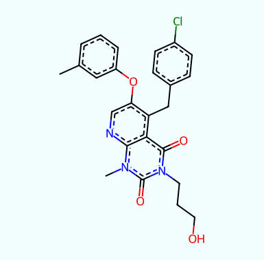 Cc1cccc(Oc2cnc3c(c2Cc2ccc(Cl)cc2)c(=O)n(CCCO)c(=O)n3C)c1